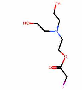 O=C(CI)OCCN(CCO)CCO